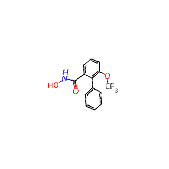 O=C(NO)c1cccc(OC(F)(F)F)c1-c1ccccc1